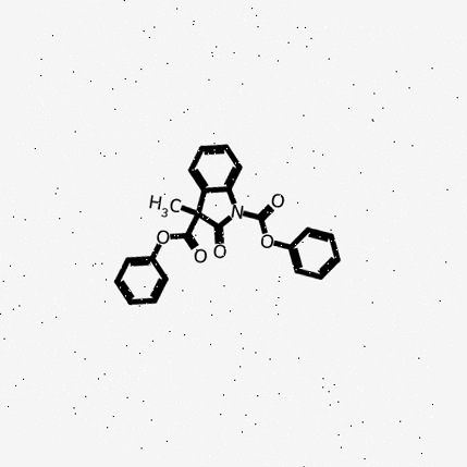 CC1(C(=O)Oc2ccccc2)C(=O)N(C(=O)Oc2ccccc2)c2ccccc21